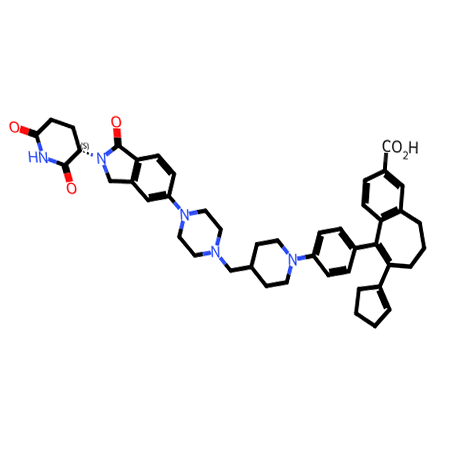 O=C1CC[C@H](N2Cc3cc(N4CCN(CC5CCN(c6ccc(C7=C(C8=CCCC8)CCCc8cc(C(=O)O)ccc87)cc6)CC5)CC4)ccc3C2=O)C(=O)N1